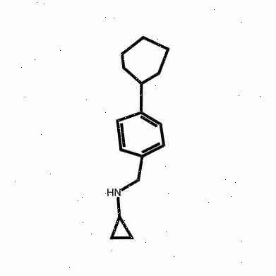 c1cc(C2CCCCC2)ccc1CNC1CC1